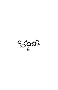 CC1=CCC(C)(C)c2cc3c(cc21)-c1cc2c(cc1C3)C(C)(C)[CH]([Zr+2]([C]1=CC=CC1)=[C](C)C)C=C2C.[Cl-].[Cl-]